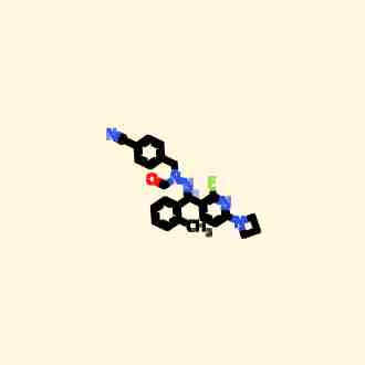 Cc1ccccc1/C(=N\N(C=O)Cc1ccc(C#N)cc1)c1ccc(N2CCC2)nc1F